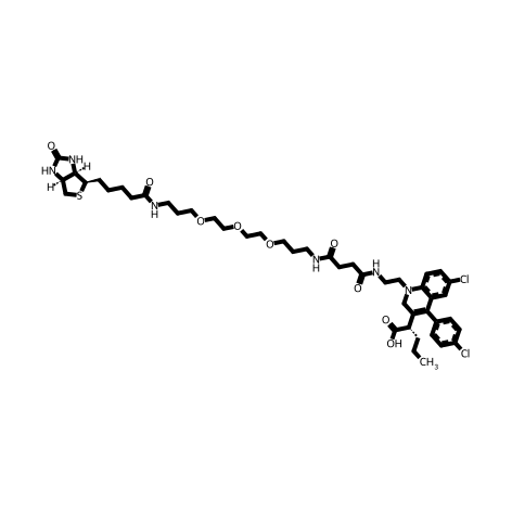 CCC[C@H](C(=O)O)C1=C(c2ccc(Cl)cc2)c2cc(Cl)ccc2N(CCNC(=O)CCC(=O)NCCCOCCOCCOCCCNC(=O)CCCC[C@H]2SC[C@H]3NC(=O)N[C@H]32)C1